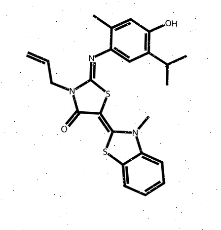 C=CCN1C(=O)C(=C2Sc3ccccc3N2C)SC1=Nc1cc(C(C)C)c(O)cc1C